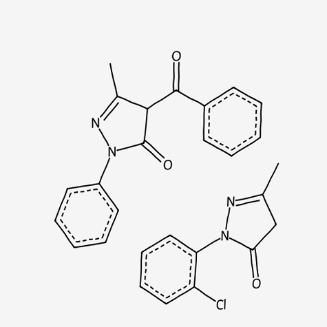 CC1=NN(c2ccccc2)C(=O)C1C(=O)c1ccccc1.CC1=NN(c2ccccc2Cl)C(=O)C1